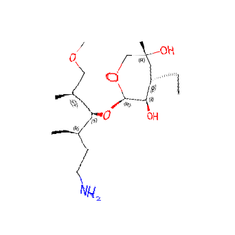 CC[C@@H]1[C@@H](O)[C@@H](O[C@@H]([C@H](C)CCN)[C@@H](C)COC)OC[C@]1(C)O